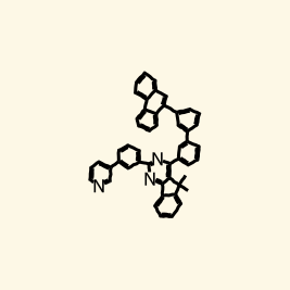 CC1(C)c2ccccc2-c2nc(-c3cccc(-c4cccnc4)c3)nc(-c3cccc(-c4cccc(-c5cc6ccccc6c6ccccc56)c4)c3)c21